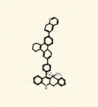 CC1(C)C2=C(c3ccc(C4=CCC5C(=C4)C4=C(CCCC4)c4cc(C6=CCC7N=CC=CC7=C6)ccc45)cc3)c3ccccc3NC2Cc2ccccc21